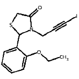 CCOc1ccccc1C1SCC(=O)N1CC#CI